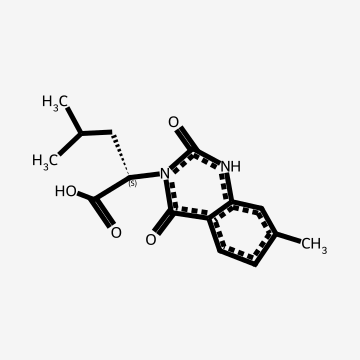 Cc1ccc2c(=O)n([C@@H](CC(C)C)C(=O)O)c(=O)[nH]c2c1